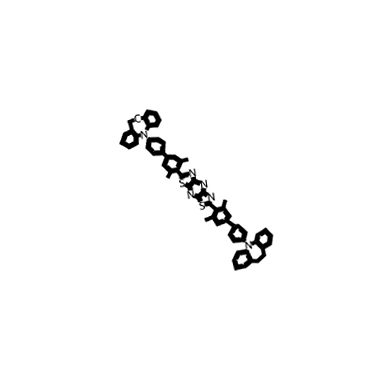 Cc1cc(-c2ccc(N3c4ccccc4CCc4ccccc43)cc2)cc(C)c1-c1nc2nc3nc(-c4c(C)cc(-c5ccc(N6c7ccccc7CCc7ccccc76)cc5)cc4C)sc3nc2s1